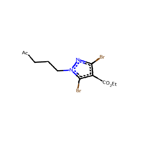 CCOC(=O)c1c(Br)nn(CCCC(C)=O)c1Br